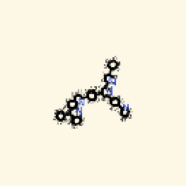 c1ccc(-c2ccc(-c3cc(-c4ccc(-c5ccc6ccc7c(-c8ccccc8)c8ccccc8nc7c6n5)cc4)cc(-c4ccc(-c5ccccn5)cc4)n3)nc2)cc1